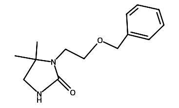 CC1(C)CNC(=O)N1CCOCc1ccccc1